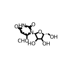 O=Cc1cc(=O)[nH]c(=O)n1[C@@H]1O[C@H](CO)C(O)C1O